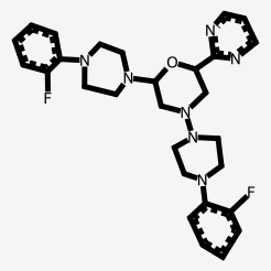 Fc1ccccc1N1CCN(C2CN(N3CCN(c4ccccc4F)CC3)CC(c3ncccn3)O2)CC1